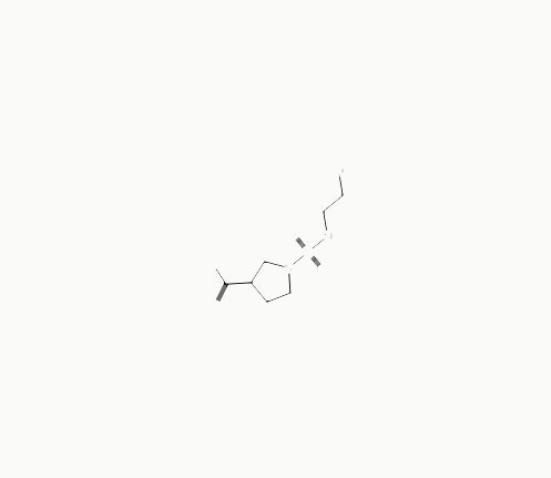 O=C(O)C1CCN(S(=O)(=O)NCCO)C1